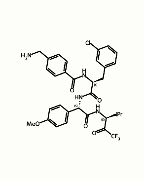 COc1ccc([C@H](NC(=O)[C@H](Cc2cccc(Cl)c2)NC(=O)c2ccc(CN)cc2)C(=O)N[C@H](C(=O)C(F)(F)F)C(C)C)cc1